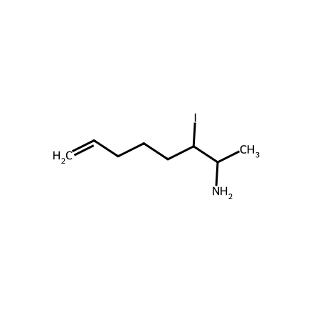 C=CCCCC(I)C(C)N